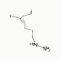 NNCC=C(F)F